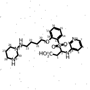 O=C(O)CC(Nc1cccnc1)S(=O)(=O)c1ccccc1OCCCCNN1CCCNC1